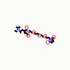 CCN(C(C)C)C(C)CC1=CC(=O)N(CCOCCOCCOCCN2C(=O)C=CC2=O)C1=O